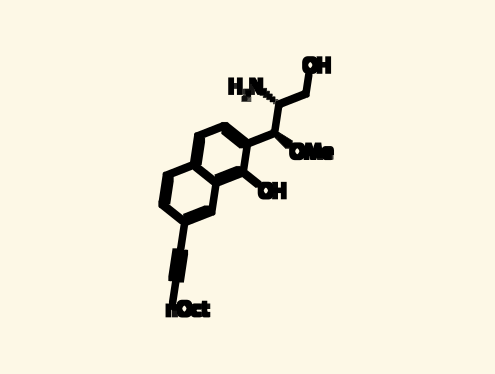 CCCCCCCCC#Cc1ccc2ccc([C@H](OC)[C@H](N)CO)c(O)c2c1